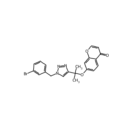 CC(C)(Oc1ccc2c(=O)ccoc2c1)c1cn(Cc2cccc(Br)c2)nn1